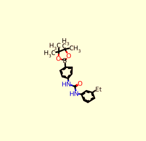 CCc1cccc(NC(=O)Nc2ccc(B3OC(C)(C)C(C)(C)O3)cc2)c1